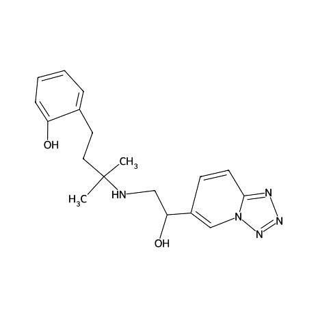 CC(C)(CCc1ccccc1O)NCC(O)c1ccc2nnnn2c1